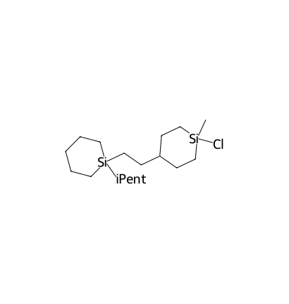 CCCC(C)[Si]1(CCC2CC[Si](C)(Cl)CC2)CCCCC1